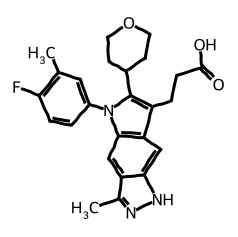 Cc1cc(-n2c(C3CCOCC3)c(CCC(=O)O)c3cc4[nH]nc(C)c4cc32)ccc1F